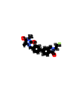 CCN1C(=O)C(C)N(Cc2ccc(-c3ccc4c(c3)CN(CCF)C4=O)cc2)C1=O